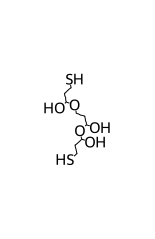 OC(CCS)OCCC(O)OC(O)CCS